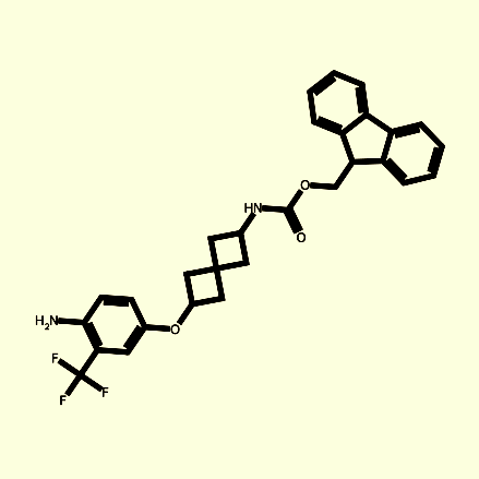 Nc1ccc(OC2CC3(CC(NC(=O)OCC4c5ccccc5-c5ccccc54)C3)C2)cc1C(F)(F)F